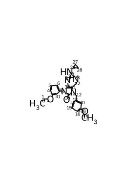 CCOc1cccc(-n2c(=O)n(Cc3cccc(OC)c3)c3cnc(NC4CC4)nc32)c1